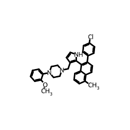 COc1ccccc1N1CCN(Cc2cc[nH]c2-c2c(-c3ccc(Cl)cc3)ccc3c(C)cccc23)CC1